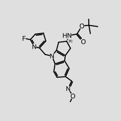 CON=Cc1ccc2c(c1)c1c(n2Cc2cccc(F)n2)C[C@H](NC(=O)OC(C)(C)C)C1